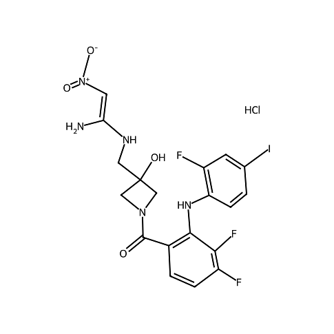 Cl.NC(=C[N+](=O)[O-])NCC1(O)CN(C(=O)c2ccc(F)c(F)c2Nc2ccc(I)cc2F)C1